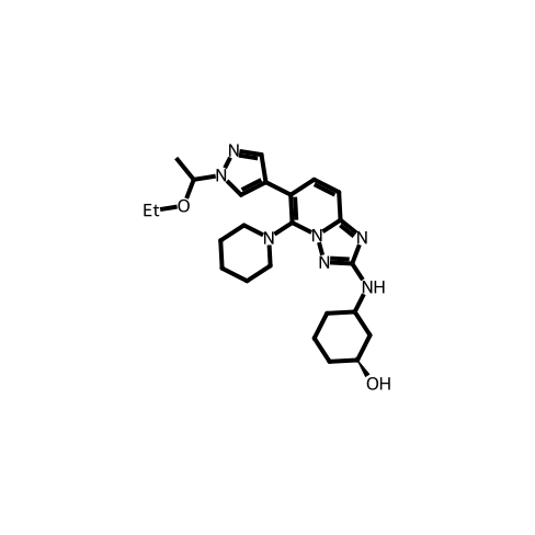 CCOC(C)n1cc(-c2ccc3nc(NC4CCC[C@H](O)C4)nn3c2N2CCCCC2)cn1